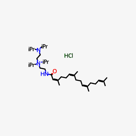 CC(C)=CCCC(C)=CCCC(C)=CCCC(C)=CC(=O)NCC[N+](CCN(C(C)C)C(C)C)(C(C)C)C(C)C.Cl